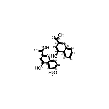 O.O=C(O)c1cc(O)c2ccccc2n1.O=C(O)c1cc(O)c2ccccc2n1